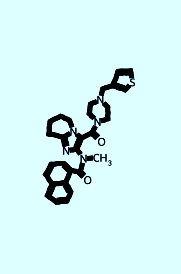 CN(C(=O)c1cccc2ccccc12)c1nc2n(c1C(=O)N1CCN(Cc3ccsc3)CC1)CCCC2